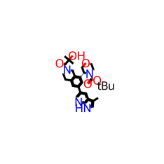 Cc1c[nH]c2ncc(-c3cc4c(c([C@@H]5COCCN5C(=O)OC(C)(C)C)c3)CN(C(=O)C(C)(C)O)CC4)cc12